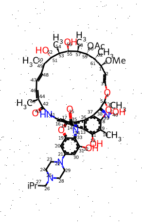 CO[C@H]1/C=C/O[C@@]2(C)Oc3c(C)c(O)c4c(=O)c(c5oc6cc(N7CCN(CC(C)C)CC7)cc(O)c6nc-5c4c3/C2=N/O)NC(=O)/C(C)=C\C=C\[C@H](C)[C@H](O)[C@@H](C)[C@@H](O)[C@@H](C)[C@H](OC(C)=O)[C@@H]1C